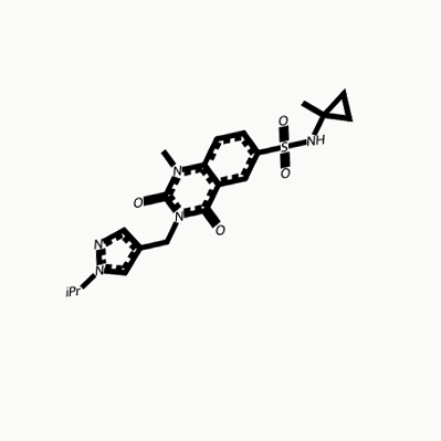 CC(C)n1cc(Cn2c(=O)c3cc(S(=O)(=O)NC4(C)CC4)ccc3n(C)c2=O)cn1